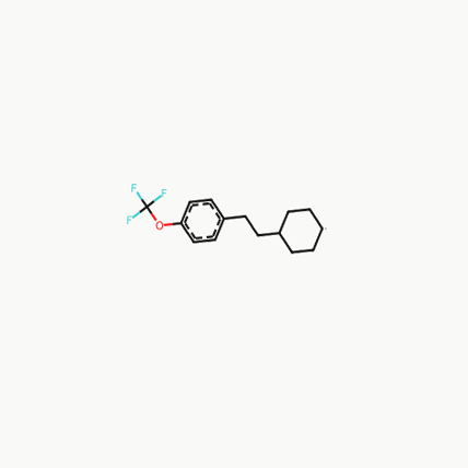 FC(F)(F)Oc1ccc(CCC2CC[CH]CC2)cc1